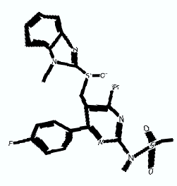 CC(C)c1nc(N(C)S(C)(=O)=O)nc(-c2ccc(F)cc2)c1C[S+]([O-])c1nc2ccccc2n1C